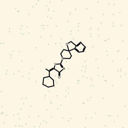 C/C(=C1\SC(N2CCC3(CC2)OCc2ccccc23)=NC1=O)C1CCCCC1